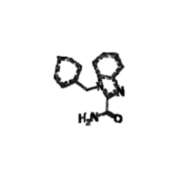 NC(=O)c1nc2ccccc2n1Cc1ccccc1